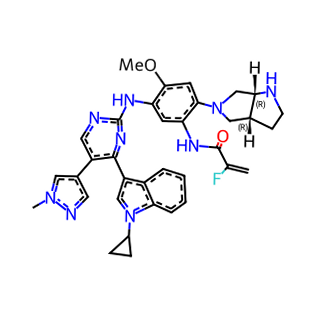 C=C(F)C(=O)Nc1cc(Nc2ncc(-c3cnn(C)c3)c(-c3cn(C4CC4)c4ccccc34)n2)c(OC)cc1N1C[C@H]2CCN[C@H]2C1